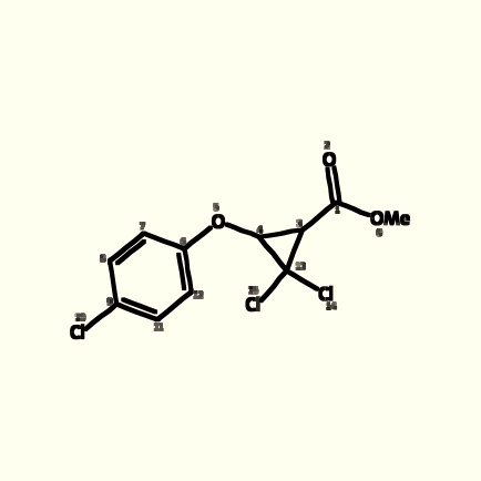 COC(=O)C1C(Oc2ccc(Cl)cc2)C1(Cl)Cl